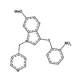 COc1ccc2c(Sc3ccccc3[N+](=O)[O-])cn(Cc3ccncc3)c2c1